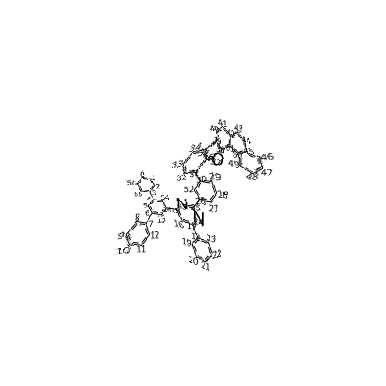 c1ccc(-c2cc(-c3ccccc3)cc(-c3cc(-c4ccccc4)nc(-c4cccc(-c5cccc6c5oc5c6ccc6ccc7ccccc7c65)c4)n3)c2)cc1